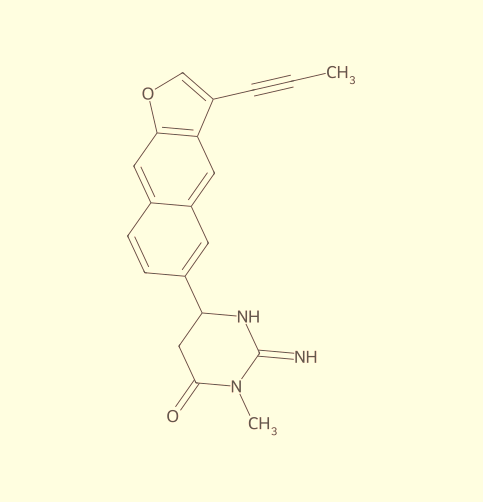 CC#Cc1coc2cc3ccc(C4CC(=O)N(C)C(=N)N4)cc3cc12